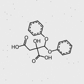 O=C(O)CC(O)(C(=O)O)C(Oc1ccccc1)Oc1ccccc1